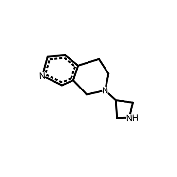 c1cc2c(cn1)CN(C1CNC1)CC2